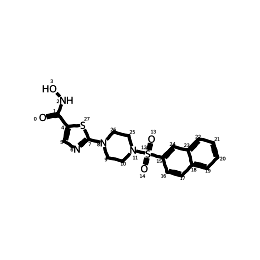 O=C(NO)c1cnc(N2CCN(S(=O)(=O)c3ccc4ccccc4c3)CC2)s1